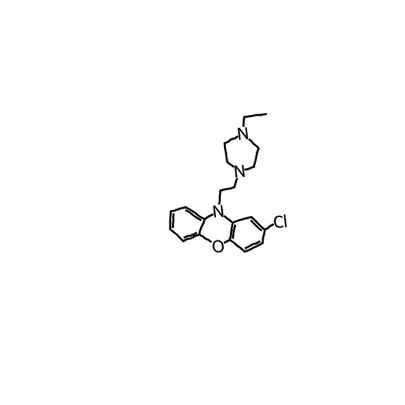 CCN1CCN(CCN2c3ccccc3Oc3ccc(Cl)cc32)CC1